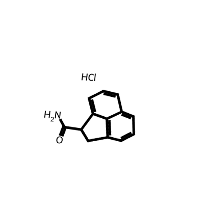 Cl.NC(=O)C1Cc2cccc3cccc1c23